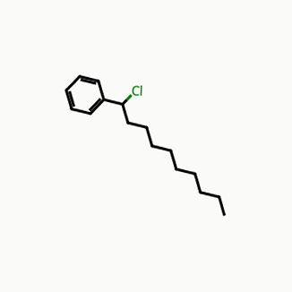 CCCCCCCCCC(Cl)c1ccccc1